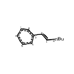 CC[CH]CC=Cc1ccccc1